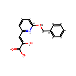 O=C(O)/C(O)=C/c1cccc(OCc2ccccc2)n1